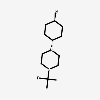 FC(F)(F)N1CCN([C@H]2CC[C@H](S)CC2)CC1